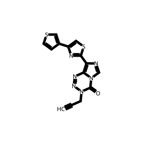 C#CCn1nnc2c(-c3nc(-c4ccsc4)cs3)ncn2c1=O